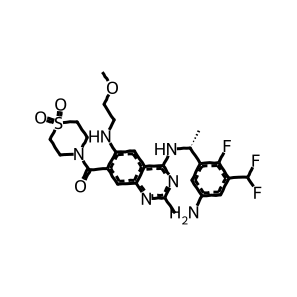 COCCNc1cc2c(N[C@H](C)c3cc(N)cc(C(F)F)c3F)nc(C)nc2cc1C(=O)N1CCS(=O)(=O)CC1